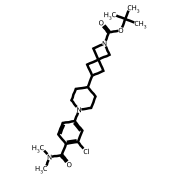 CN(C)C(=O)c1ccc(N2CCC(C3CC4(C3)CN(C(=O)OC(C)(C)C)C4)CC2)cc1Cl